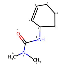 CN(C)C(=O)NC1C=[C]CCC1